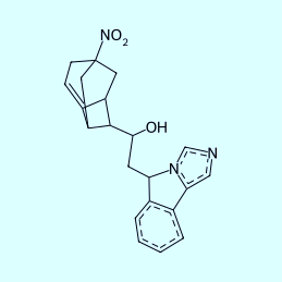 O=[N+]([O-])C12CC=C3C(C1)C(C(O)CC1c4ccccc4-c4cncn41)C3C2